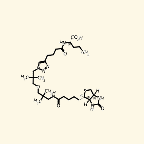 CC(C)(CNC(=O)CCCC[C@@H]1SC[C@@H]2NC(=O)N[C@@H]21)COCC(C)(C)Cn1cc(CCCC(=O)N[C@@H](CCN)C(=O)O)nn1